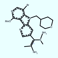 COc1ncc(Br)c2c1c1ncc(/C(=C(\C)N)N(C)N)cc1n2CC1CCOCC1